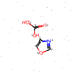 O=C(O)O.c1cocn1